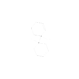 CCCC1(C2(C(C)C)C=CCCC2)CC=CCC1